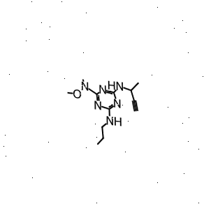 C#CC(C)Nc1nc(NCCC)nc(N(C)OC)n1